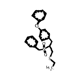 CCSCC(Cc1ccc(Oc2ccccc2)cc1)S(=O)(=O)Cc1ccccc1